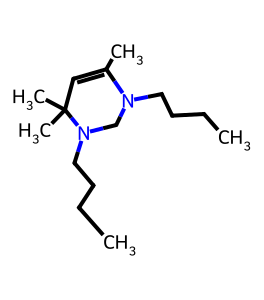 CCCCN1CN(CCCC)C(C)(C)C=C1C